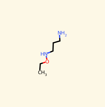 CCONCCCN